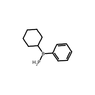 PB(c1ccccc1)C1CCCCC1